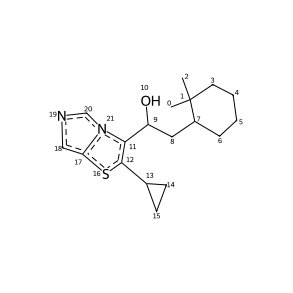 CC1(C)CCCCC1CC(O)c1c(C2CC2)sc2cncn12